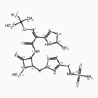 CC(C)(O/N=C(\C(=O)NC1C(=O)N(S(=O)(=O)O)C1Cn1ncc(CNS(N)(=O)=O)n1)C1=CSC(N)N1)C(=O)O